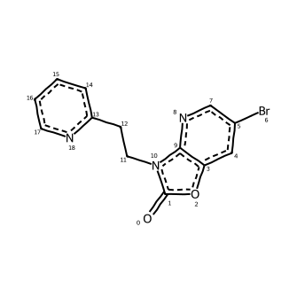 O=c1oc2cc(Br)cnc2n1CCc1ccccn1